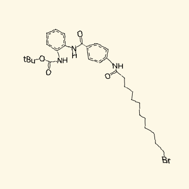 CC(C)(C)OC(=O)Nc1ccccc1NC(=O)c1ccc(NC(=O)CCCCCCCCCCCBr)cc1